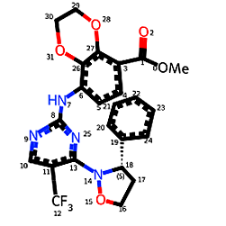 COC(=O)c1ccc(Nc2ncc(C(F)(F)F)c(N3OCC[C@H]3c3ccccc3)n2)c2c1OCCO2